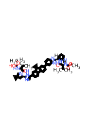 COC(=O)N[C@H](C(=O)N1[C@@H]2CC[C@@H](C2)[C@H]1c1nc2ccc(-c3ccc4c(c3)C3(CC3)c3cc(-c5cnc([C@@H]6CC7(CC7)CN6C(=O)[C@@H](NC(O)OC)C(C)C)[nH]5)ccc3-4)cc2[nH]1)C(C)C